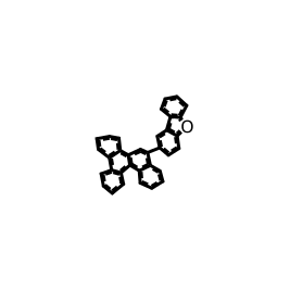 c1ccc2c(c1)oc1ccc(-c3cc4c5ccccc5c5ccccc5c4c4ccccc34)cc12